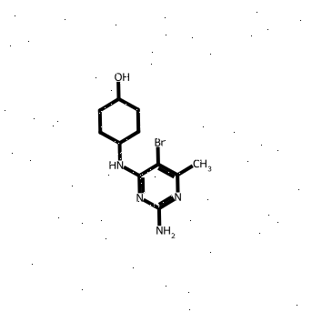 Cc1nc(N)nc(NC2CCC(O)CC2)c1Br